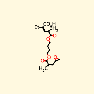 C=C(C=C(CC)C(=O)O)C(=O)OCCCCOC(=O)C(=C)CC1CO1